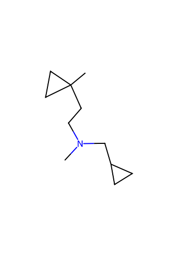 CN(CCC1(C)CC1)CC1CC1